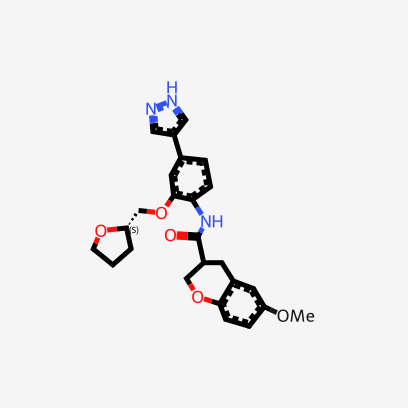 COc1ccc2c(c1)CC(C(=O)Nc1ccc(-c3cn[nH]c3)cc1OC[C@@H]1CCCO1)CO2